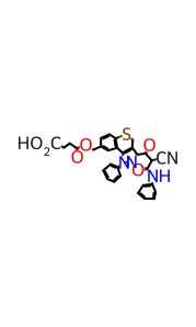 N#CC(C(=O)Nc1ccccc1)C(=O)c1nn(-c2ccccc2)c2c1CSc1ccc(COC(=O)CCC(=O)O)cc1-2